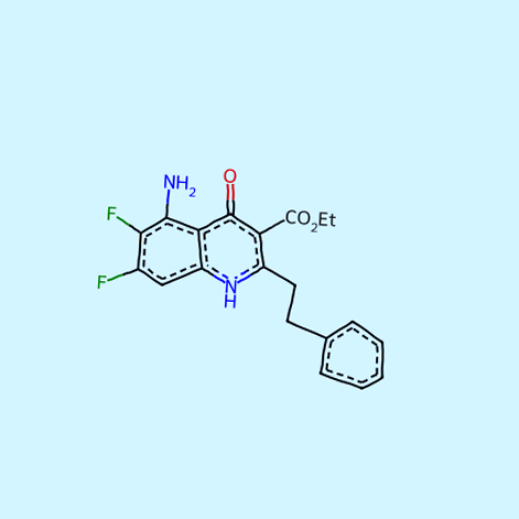 CCOC(=O)c1c(CCc2ccccc2)[nH]c2cc(F)c(F)c(N)c2c1=O